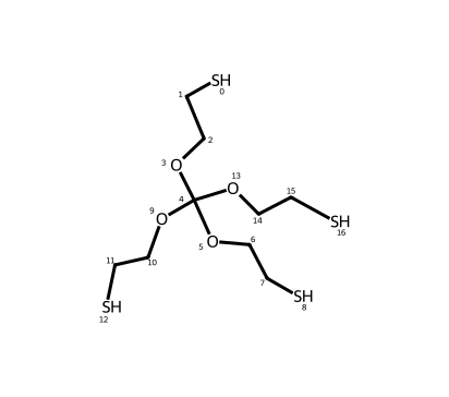 SCCOC(OCCS)(OCCS)OCCS